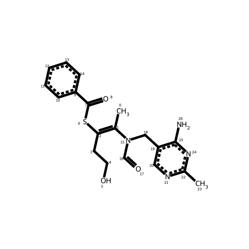 CC(=C(CCO)SC(=O)c1ccccc1)N(C=O)Cc1cnc(C)nc1N